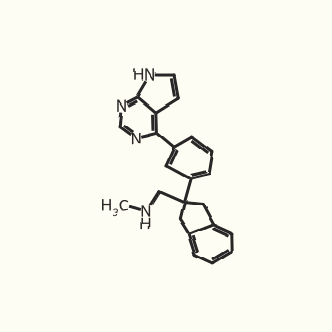 CNCC1(c2cccc(-c3ncnc4[nH]ccc34)c2)Cc2ccccc2C1